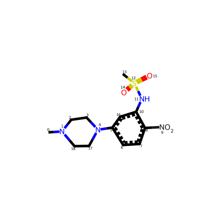 CN1CCN(c2ccc([N+](=O)[O-])c(NS(C)(=O)=O)c2)CC1